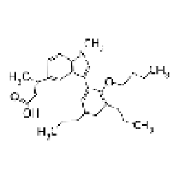 CCCCOc1c(CCC)cc(CCC)cc1-c1cn(C)c2ccc(C(C)=CC(=O)O)cc12